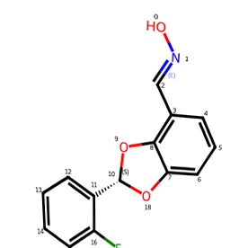 O/N=C/c1cccc2c1O[C@@H](c1ccccc1F)O2